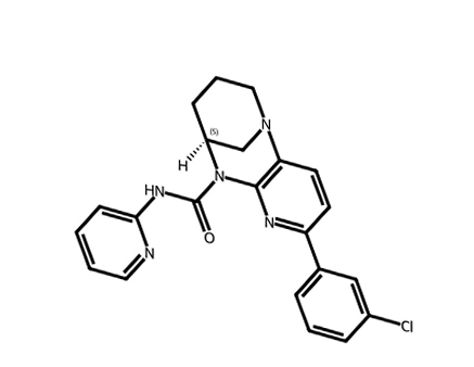 O=C(Nc1ccccn1)N1c2nc(-c3cccc(Cl)c3)ccc2N2CCC[C@H]1C2